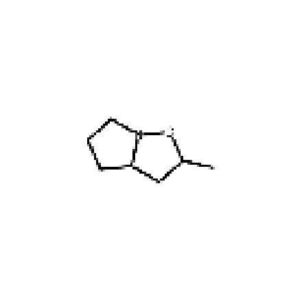 CC1CC2CCCN2O1